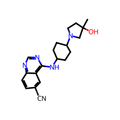 CC1(O)CCN(C2CCC(Nc3ncnc4ccc(C#N)cc34)CC2)C1